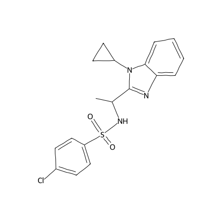 CC(NS(=O)(=O)c1ccc(Cl)cc1)c1nc2ccccc2n1C1CC1